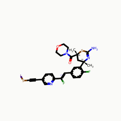 C[C@]1(C(=O)N2CCOCC2)C[C@@](C)(c2cc(/C=C(\F)c3ccc(C#CSI)cn3)ccc2F)N=C(N)S1